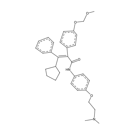 COCOc1ccc(C(C(=O)Nc2ccc(OCCN(C)C)cc2)=C(c2ccccc2)C2CCCC2)cc1